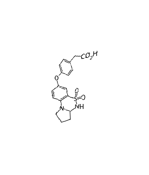 O=C(O)Cc1ccc(Oc2ccc3c(c2)S(=O)(=O)NC2CCCN32)cc1